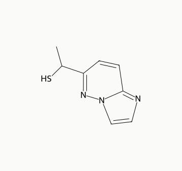 CC(S)c1ccc2nccn2n1